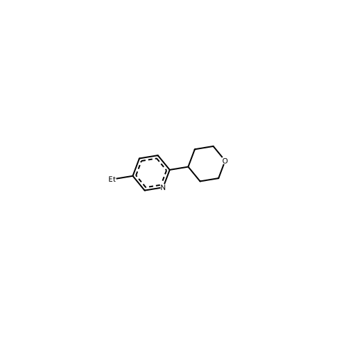 CCc1ccc(C2CCOCC2)nc1